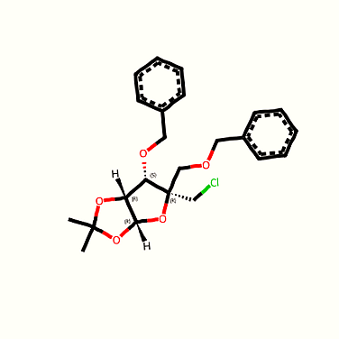 CC1(C)O[C@H]2O[C@](CCl)(COCc3ccccc3)[C@@H](OCc3ccccc3)[C@H]2O1